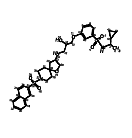 CC(NS(=O)(=O)c1cccc(OCC(O)CNC2COC3(CCN(S(=O)(=O)c4ccc5ccccc5c4)CC3)C2)c1)C1CC1